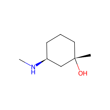 CN[C@H]1CCC[C@](C)(O)C1